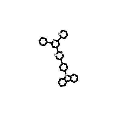 c1ccc(-c2cc(-c3ncc(-c4ccc(-n5c6ccccc6c6ccccc65)cc4)cn3)cc(-c3ccccn3)n2)cc1